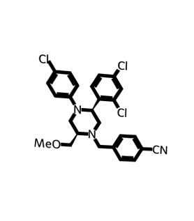 COC[C@H]1CN(c2ccc(Cl)cc2)[C@@H](c2ccc(Cl)cc2Cl)CN1Cc1ccc(C#N)cc1